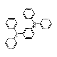 c1ccc([SiH](c2ccccc2)c2cccc([SiH](c3ccccc3)c3ccccc3)c2)cc1